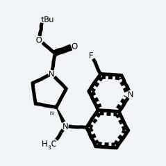 CN(c1cccc2ncc(F)cc12)[C@H]1CCN(C(=O)OC(C)(C)C)C1